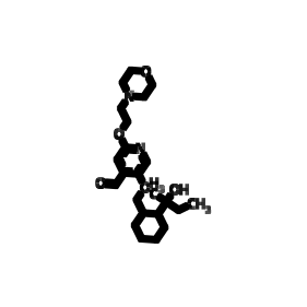 CCC(C)(O)C1CCCCC1COc1cnc(OCCN2CCOCC2)cc1C=O